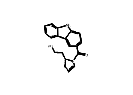 O=C(c1ccc2[nH]c3ccccc3c2c1)N1C=CCC1CCO